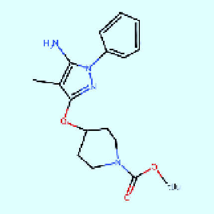 Cc1c(OC2CCN(C(=O)OC(C)(C)C)CC2)nn(-c2ccccc2)c1N